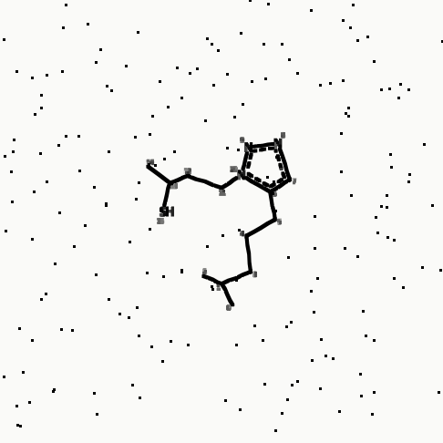 CC(C)CCCc1cnnn1CCC(C)S